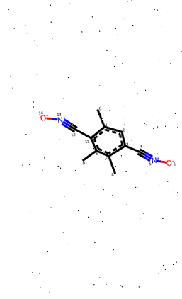 Cc1cc(C#[N+][O-])c(C)c(C)c1C#[N+][O-]